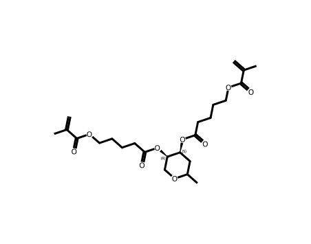 C=C(C)C(=O)OCCCCC(=O)O[C@H]1CC(C)OC[C@H]1OC(=O)CCCCOC(=O)C(=C)C